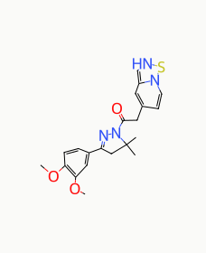 COc1ccc(C2=NN(C(=O)CC3=CC4=CNSN4C=C3)C(C)(C)C2)cc1OC